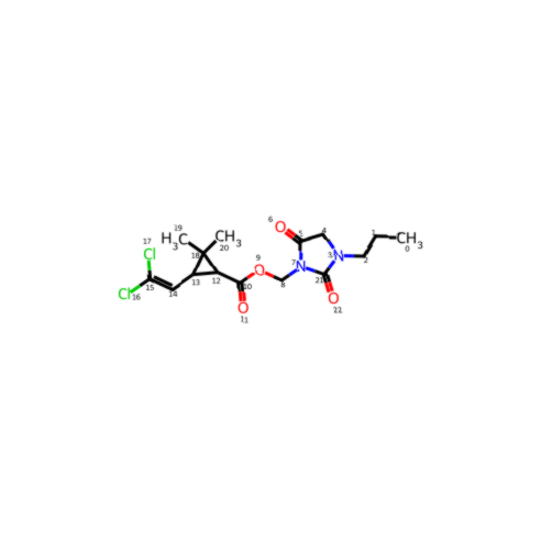 CCCN1CC(=O)N(COC(=O)C2C(C=C(Cl)Cl)C2(C)C)C1=O